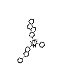 c1ccc(-c2ccc3cc(-c4nc(-c5ccccc5)nc(-c5ccc6c(ccc7c8ccccc8ccc67)c5)n4)ccc3c2)cc1